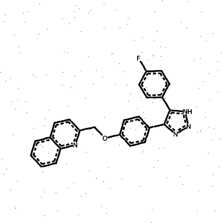 Fc1ccc(-c2[nH]nnc2-c2ccc(OCc3ccc4ccccc4n3)cc2)cc1